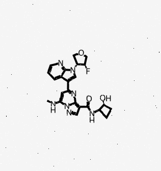 CNc1cc(-c2cn([C@H]3COC[C@H]3F)c3ncccc23)nc2c(C(=O)NC3CC[C@@H]3O)cnn12